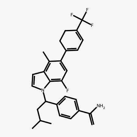 C=C(N)c1ccc(C(CC(C)C)n2ccc3c(C)c(C4=CC=C(C(F)(F)F)CC4)cc(F)c32)cc1